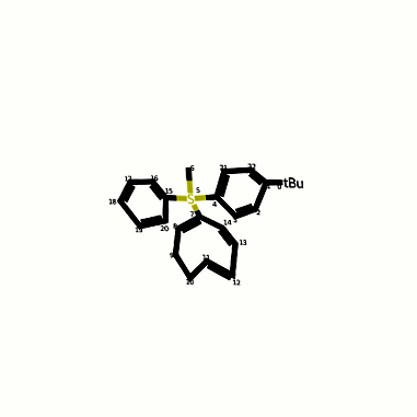 CC(C)(C)c1ccc(S(C)(C2=C/CC/C=C/C=C\2)c2ccccc2)cc1